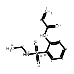 C=CC(=O)Nc1ccccc1S(=O)(=O)NCC